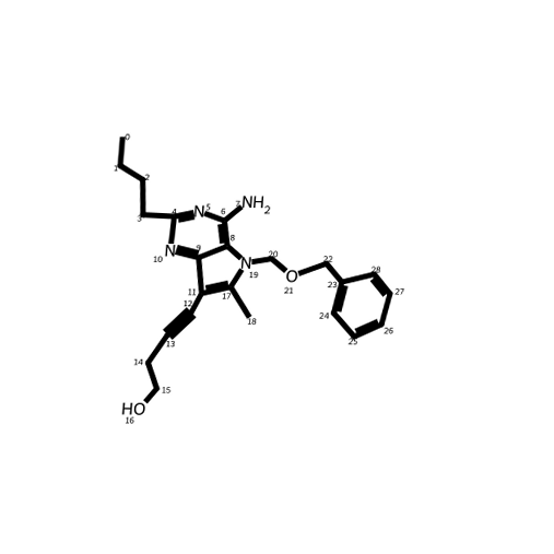 CCCCc1nc(N)c2c(n1)c(C#CCCO)c(C)n2COCc1ccccc1